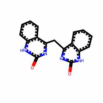 O=c1nc(Cc2nc(=O)[nH]c3ccccc23)c2ccccc2[nH]1